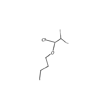 CCCCOC(Cl)C(C)C